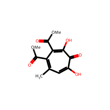 COC(=O)c1c(C)cc(O)c(=O)c(O)c1C(=O)OC